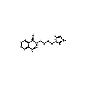 O=c1c2ccccc2nnn1CCCCn1ccnc1